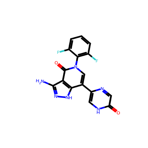 Nc1n[nH]c2c(-c3c[nH]c(=O)cn3)cn(-c3c(F)cccc3F)c(=O)c12